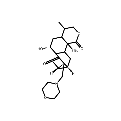 CCCCC12C(=O)OCC(C)C1C[C@@H](O)[C@@]13CC[C@@H](CC21)[C@H](CN1CCOCC1)C3=O